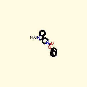 CN1CC2(CCN(C(=O)OC3C4CC5CC(C4)CC3C5)CC2)c2ccccc21